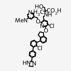 CNc1cncc(COc2nc(O[C@H]3CCc4c(-c5cccc(-c6ccc(C7=NCCN7)cc6)c5Cl)cccc43)c(Cl)cc2CNC(C)(CO)C(=O)O)c1